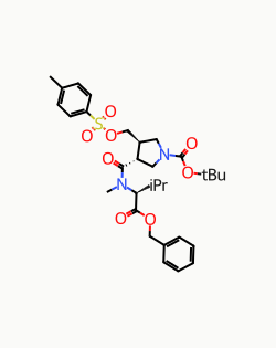 Cc1ccc(S(=O)(=O)OC[C@H]2CN(C(=O)OC(C)(C)C)C[C@@H]2C(=O)N(C)[C@H](C(=O)OCc2ccccc2)C(C)C)cc1